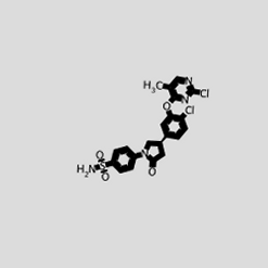 Cc1cnc(Cl)nc1Oc1cc([C@H]2CC(=O)N(c3ccc(S(N)(=O)=O)cc3)C2)ccc1Cl